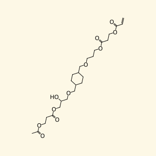 C=CC(=O)OCCC(=O)OCCCOCC1CCC(COCC(O)COC(=O)CCOC(C)=O)CC1